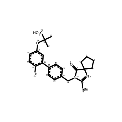 CCCCC1=NC2(CCCC2)C(=O)N1Cc1ccc(-c2cc(OC(C)(C)C(=O)O)ccc2Br)cc1